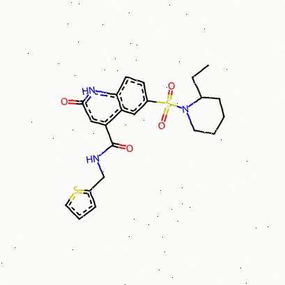 CCC1CCCCN1S(=O)(=O)c1ccc2[nH]c(=O)cc(C(=O)NCc3cccs3)c2c1